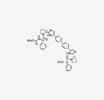 COC(=O)N[C@@H](C(=O)N1CCC[C@H]1c1ncc(-c2ccc(-c3ccc(-c4cnc([C@@H]5CCCN5C(=O)[C@@H](OC(C)=O)c5ccccc5)[nH]4)cc3)cc2)[nH]1)c1ccccc1